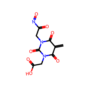 C=C1C(=O)N(CC(=O)O)C(=O)N(CC(=O)N=O)C1=O